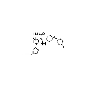 CC#CCN1CCC(c2cnn3c(C(N)=O)c(-c4ccc(Oc5ccc(F)cc5)cc4)[nH]c23)C1